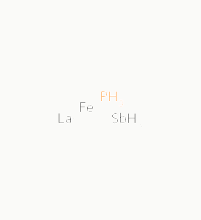 P.[Fe].[La].[SbH3]